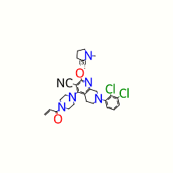 C=CC(=O)N1CCN(c2c(C#N)c(OC[C@@H]3CCCN3C)nc3c2CCN(c2cccc(Cl)c2Cl)C3)CC1